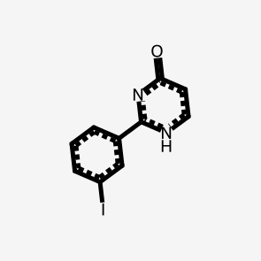 O=c1cc[nH]c(-c2cccc(I)c2)n1